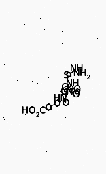 N=C(N)c1csc(CNC(=O)[C@@H]2CC3(CN2C(=O)CNC(=O)c2ccc(-c4ccc(C(=O)O)cc4)cc2)OCCO3)c1